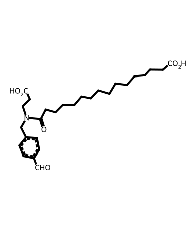 O=Cc1ccc(CN(CCC(=O)O)C(=O)CCCCCCCCCCCCCCC(=O)O)cc1